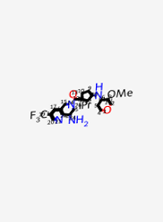 CO[C@@H]1COCC[C@@H]1N[C@@H]1CC[C@@](C(=O)N2Cc3cc(C(F)(F)F)cnc3C(N)C2)(C(C)C)C1